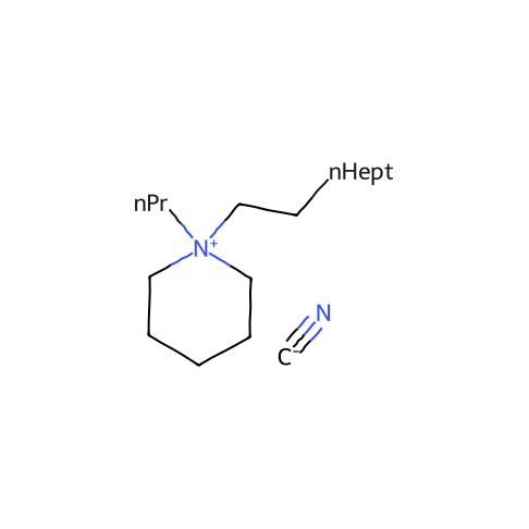 CCCCCCCCC[N+]1(CCC)CCCCC1.[C-]#N